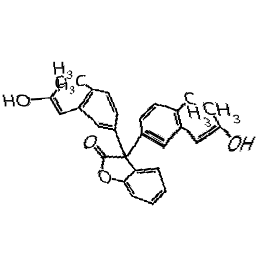 C/C(O)=C\c1cc(C2(c3ccc(C)c(/C=C(\C)O)c3)C(=O)Oc3ccccc32)ccc1C